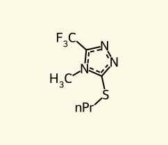 [CH2]CCSc1nnc(C(F)(F)F)n1C